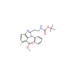 COC(=O)c1c(F)ccc2nc(CCNC(=O)OC(C)(C)C)n(-c3ccccc3)c12